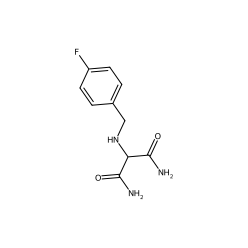 NC(=O)C(NCc1ccc(F)cc1)C(N)=O